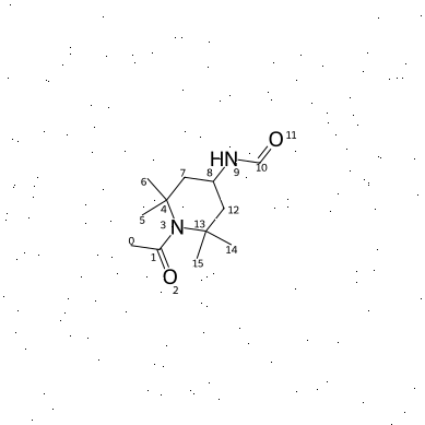 CC(=O)N1C(C)(C)CC(NC=O)CC1(C)C